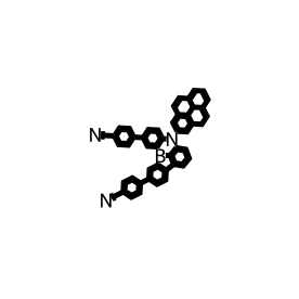 N#Cc1ccc(-c2ccc3c(c2)B2c4cc(-c5ccc(C#N)cc5)ccc4N(c4cc5c6c(c4)CC=C4C=CC=C(C=C5)C46)c4cccc-3c42)cc1